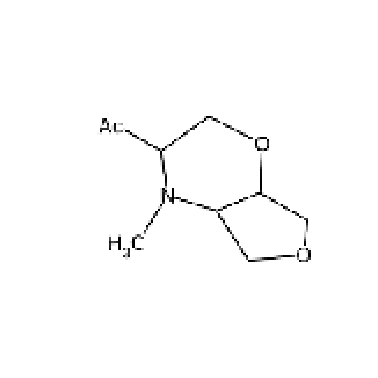 CC(=O)C1COC2COCC2N1C